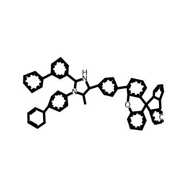 CC1C(c2ccc(-c3cccc4c3Oc3ccccc3C43c4ccccc4C4C=CC=CC43)cc2)NC(c2cccc(-c3ccccc3)c2)N1c1ccc(C2C=CC=CC2)cc1